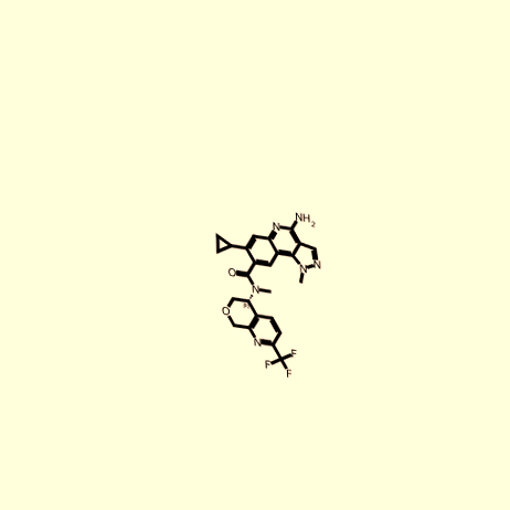 CN(C(=O)c1cc2c(cc1C1CC1)nc(N)c1cnn(C)c12)[C@H]1COCc2nc(C(F)(F)F)ccc21